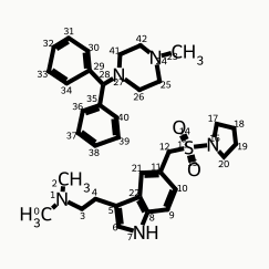 CN(C)CCc1c[nH]c2ccc(CS(=O)(=O)N3CCCC3)cc12.CN1CCN(C(c2ccccc2)c2ccccc2)CC1